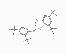 CC(C)(C)c1ccc(OP(OCl)Oc2ccc(C(C)(C)C)cc2C(C)(C)C)c(C(C)(C)C)c1